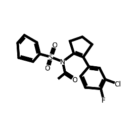 CC(=O)N(C1=C(c2ccc(F)c(Cl)c2)CCC1)S(=O)(=O)c1ccccc1